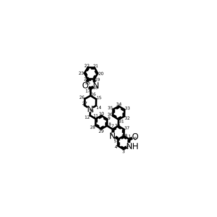 O=c1[nH]ccc2nc(-c3ccc(CN4CCC(c5nc6ccccc6o5)CC4)cc3)c(-c3ccccc3)cc12